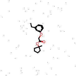 CCc1cc#cc(OCC(=O)OC2(C)CCCC2)c1